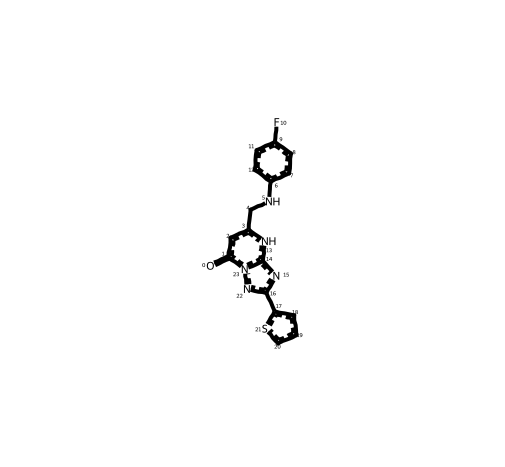 O=c1cc(CNc2ccc(F)cc2)[nH]c2nc(-c3cccs3)nn12